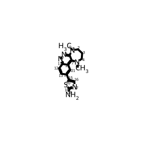 CN1CCCN(C)c2c1nnc1ccc(-c3cnc(N)s3)cc21